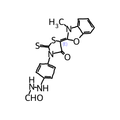 CN1/C(=C2\SC(=S)N(c3ccc(NNC=O)cc3)C2=O)Oc2ccccc21